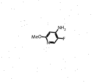 COc1cc(N)c(F)cn1